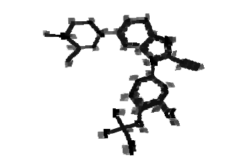 C#Cc1nc2ccc(N3CCN(C)C(C)C3)cc2n1-c1ccc(OC(F)(F)F)c(Cl)c1